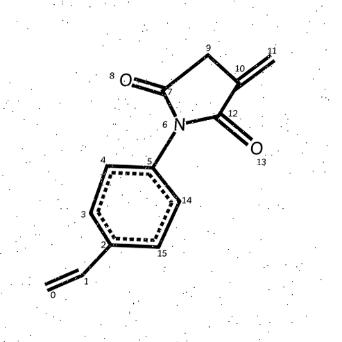 C=Cc1ccc(N2C(=O)CC(=C)C2=O)cc1